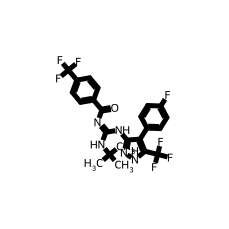 CC(C)(C)N/C(=N/C(=O)c1ccc(C(F)(F)F)cc1)Nc1n[nH]c(C(F)(F)F)c1-c1ccc(F)cc1